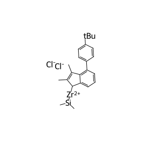 CC1=C(C)[CH]([Zr+2][Si](C)C)c2cccc(-c3ccc(C(C)(C)C)cc3)c21.[Cl-].[Cl-]